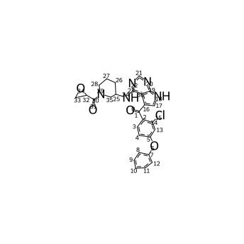 O=C(c1ccc(Oc2ccccc2)cc1Cl)c1c[nH]c2ncnc(NC3CCCN(C(=O)C4CO4)C3)c12